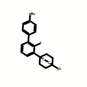 CCCCc1ccc(-c2cccc(C34CCC(CC)(CC3)CC4)c2F)cc1